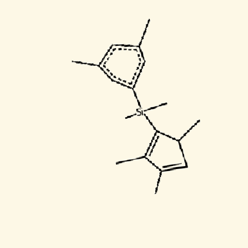 CC1=CC(C)C([Si](C)(C)c2cc(C)cc(C)c2)=C1C